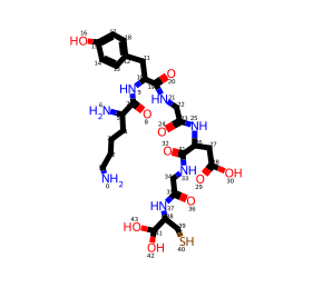 NCCCCC(N)C(=O)NC(Cc1ccc(O)cc1)C(=O)NCC(=O)NC(CC(=O)O)C(=O)NCC(=O)NC(CS)C(O)O